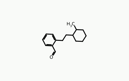 CC1CCCCC1CCc1ccccc1C=O